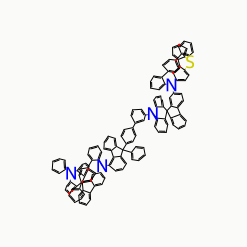 c1ccc(-c2ccc(-c3ccccc3N(c3ccc4c(c3)C3(c5ccccc5-4)c4ccccc4N(c4cccc(-c5ccc(C6(c7ccccc7)c7ccccc7-c7c(N(c8ccc9c(c8)C8(c%10ccccc%10-9)c9ccccc9N(c9ccccc9)c9ccccc98)c8ccccc8-c8ccc(-c9ccccc9)cc8)cccc76)cc5)c4)c4ccccc43)c3ccc4sc5ccccc5c4c3)cc2)cc1